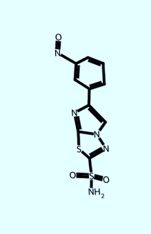 NS(=O)(=O)c1nn2cc(-c3cccc(N=O)c3)nc2s1